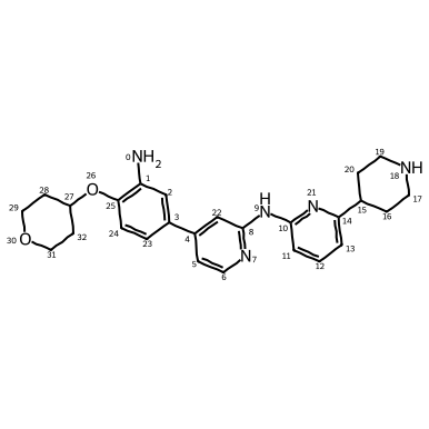 Nc1cc(-c2ccnc(Nc3cccc(C4CCNCC4)n3)c2)ccc1OC1CCOCC1